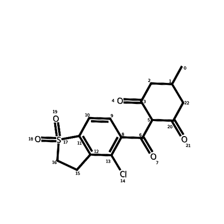 CC1CC(=O)C(C(=O)c2ccc3c(c2Cl)CCS3(=O)=O)C(=O)C1